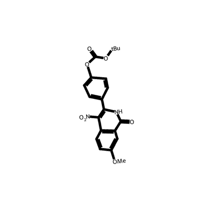 COc1ccc2c([N+](=O)[O-])c(-c3ccc(OC(=O)OC(C)(C)C)cc3)[nH]c(=O)c2c1